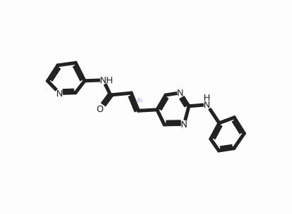 O=C(/C=C/c1cnc(Nc2ccccc2)nc1)Nc1cccnc1